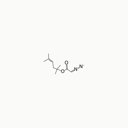 CC(C)=CCC(C)(C)OC(=O)C=[N+]=[N-]